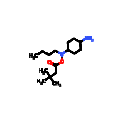 CCCCN(OC(=O)CC(C)(C)C)C1CCC(N)CC1